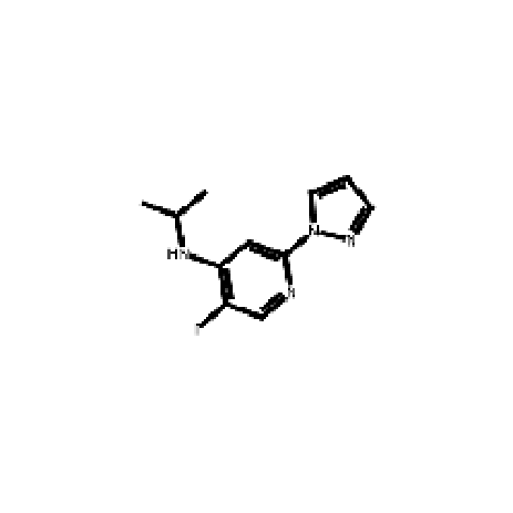 CC(C)Nc1cc(-n2cccn2)ncc1I